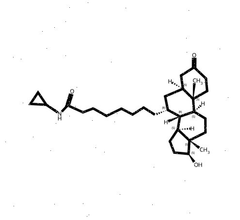 C[C@]12CCC(=O)C[C@@H]1C[C@@H](CCCCCCCC(=O)NC1CC1)[C@@H]1[C@@H]2CC[C@]2(C)[C@@H](O)CC[C@@H]12